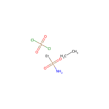 CC.CCS(N)(=O)=O.O=S(=O)(Cl)Cl